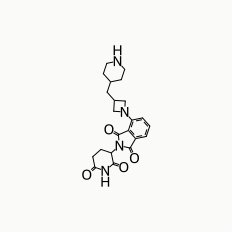 O=C1CCC(N2C(=O)c3cccc(N4CC(CC5CCNCC5)C4)c3C2=O)C(=O)N1